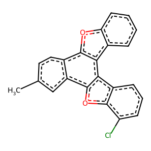 Cc1ccc2c(c1)c1oc3c(Cl)cccc3c1c1c3ccccc3oc21